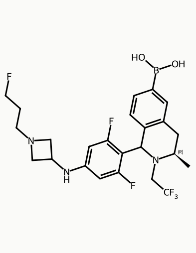 C[C@@H]1Cc2cc(B(O)O)ccc2C(c2c(F)cc(NC3CN(CCCF)C3)cc2F)N1CC(F)(F)F